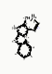 C/C=C\c1c(C)[nH]c2nc3ccccc3n12